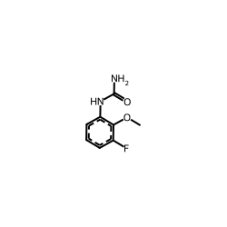 COc1c(F)cccc1NC(N)=O